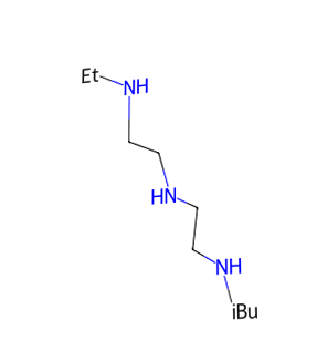 CCNCCNCCNC(C)CC